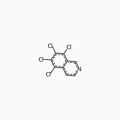 Clc1c(Cl)c(Cl)c2ccn[c]c2c1Cl